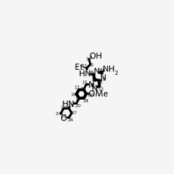 CC[C@@H](CCO)Nc1nc(N)nc2cnn(Cc3ccc(CNC4CCOCC4)cc3OC)c12